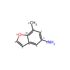 Cc1cc(N)cc2ccoc12